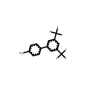 Nc1ccc(-c2cc(C(F)(F)F)cc(C(F)(F)F)c2)cc1